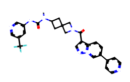 CN(C(=O)Nc1cncc(C(F)(F)F)c1)C1CC2(C1)CN(C(=O)c1cnn3cc(-c4ccncc4)ccc13)C2